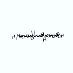 NCCOCCOCCC(=O)NCCCCCC(=O)NCCOCCOCCC(=O)O